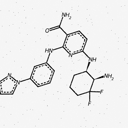 NC(=O)c1ccc(N[C@@H]2CCCC(F)(F)[C@@H]2N)nc1Nc1cccc(-n2cccn2)c1